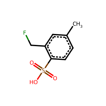 Cc1ccc(S(=O)(=O)O)c(CF)c1